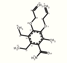 C=CCOc1c(C)c(C(N)=O)c(CC)c(CC)c1OCC=C